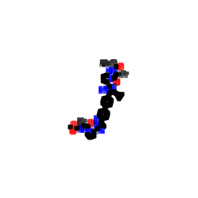 COC(=O)N[C@H](C(=O)N1CCC[C@H]1c1nc(C2CC2)c(-c2ccc(-c3ccc(-c4cnc([C@@H]5CCCN5C(=O)[C@@H](NC5OCO5)C(C)C)[nH]4)cc3)cc2)[nH]1)C(C)C